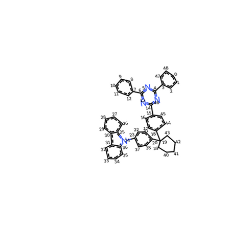 c1ccc(-c2nc(-c3ccccc3)nc(-c3ccc(C4(c5ccc(-n6c7ccccc7c7ccccc76)cc5)CCCCC4)cc3)n2)cc1